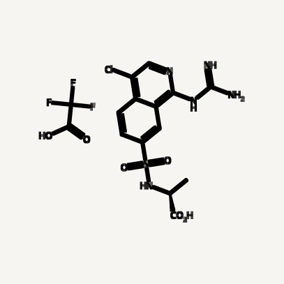 C[C@H](NS(=O)(=O)c1ccc2c(Cl)cnc(NC(=N)N)c2c1)C(=O)O.O=C(O)C(F)(F)F